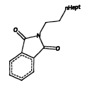 CCCCCCCCCN1C(=O)c2ccccc2C1=O